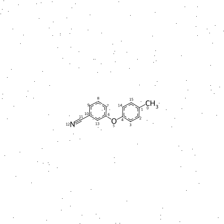 Cc1ccc(Oc2cccc(C#N)c2)cc1